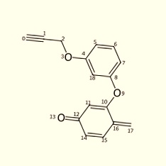 C#CCOc1cccc(OC2=CC(=O)C=CC2=C)c1